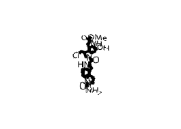 COC(=O)c1cc2c3c(cc(O)c2[nH]1)N(C(=O)c1cc2c4c(ccc2[nH]1)N(C(N)=O)CC4)CC3CCl